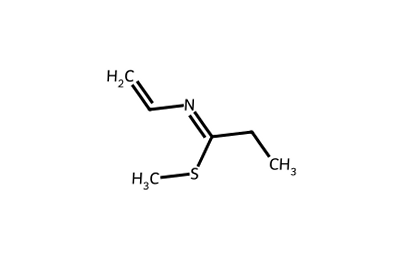 C=C/N=C(/CC)SC